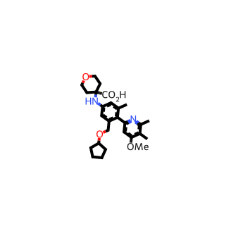 COc1cc(-c2c(C)cc(NC3(C(=O)O)CCOCC3)cc2COC2CCCC2)nc(C)c1C